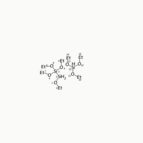 CCO[SiH2][Si](OCC)(OCC)OCC.CCO[SiH](OCC)OCC